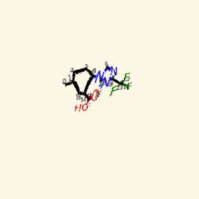 Cc1ccc(-n2cnc(C(F)(F)F)n2)c(C(=O)O)c1